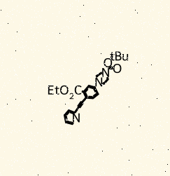 CCOC(=O)c1cc(N2CCN(C(=O)OC(C)(C)C)CC2)ccc1C#Cc1ccccn1